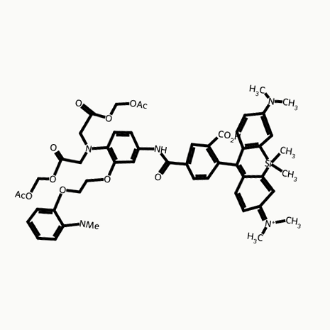 CNc1ccccc1OCCOc1cc(NC(=O)c2ccc(C3=C4C=CC(=[N+](C)C)C=C4[Si](C)(C)c4cc(N(C)C)ccc43)c(C(=O)O)c2)ccc1N(CC(=O)OCOC(C)=O)CC(=O)OCOC(C)=O